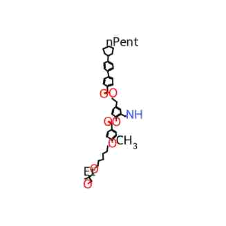 CCCCCC1CCC(c2ccc(-c3ccc(C(=O)OCCc4ccc(OC(=O)c5ccc(OCCCCCCOCC6(CC)COC6)c(C)c5)c(C=N)c4)cc3)cc2)CC1